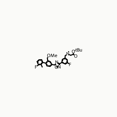 COCc1cc(-c2nc(-c3cc(F)cc(CN(C)CC(=O)OC(C)(C)C)c3)no2)ccc1-c1cccc(F)c1C